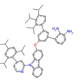 CC(C)c1cc(C(C)C)c(-c2ccnc(-n3c4ccccc4c4ccc(Oc5cc(-c6cccc(N)c6N)cc(-c6ccc(C(C)C)c(C(C)C)c6C(C)C)c5)cc43)c2)c(C(C)C)c1